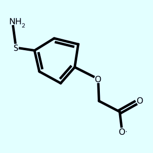 NSc1ccc(OCC([O])=O)cc1